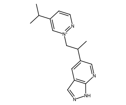 CC(C)c1ccn[n+](CC(C)c2cnc3[nH]ncc3c2)c1